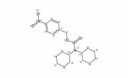 O=C(OCc1ccc([N+](=O)[O-])cc1)N(C1CCCCC1)C1CCCCC1